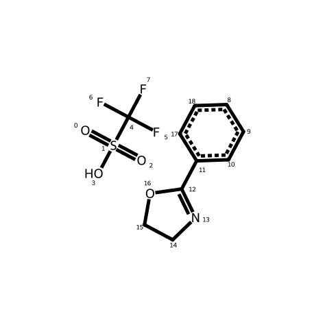 O=S(=O)(O)C(F)(F)F.c1ccc(C2=NCCO2)cc1